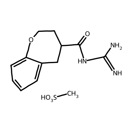 CS(=O)(=O)O.N=C(N)NC(=O)C1CCOc2ccccc2C1